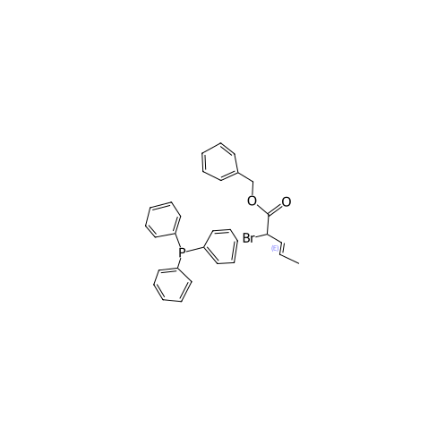 C/C=C/C(Br)C(=O)OCc1ccccc1.c1ccc(P(c2ccccc2)c2ccccc2)cc1